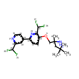 CC(C)(C)CC(C)(N)COc1ccc(-c2ccnc(C(F)F)c2)nc1C(F)F